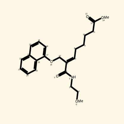 COCCNC(=O)/C(=C/CCCCC(=O)OC)COc1cccc2ccccc12